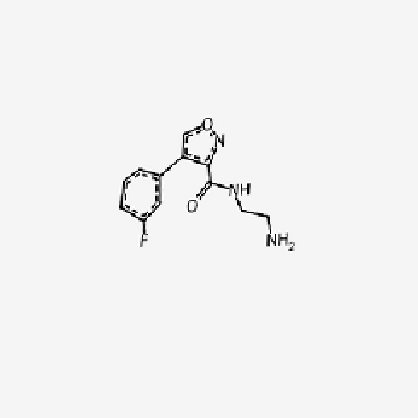 NCCNC(=O)c1nocc1-c1cccc(F)c1